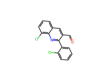 O=Cc1cc2cccc(Cl)c2nc1-c1ccccc1Cl